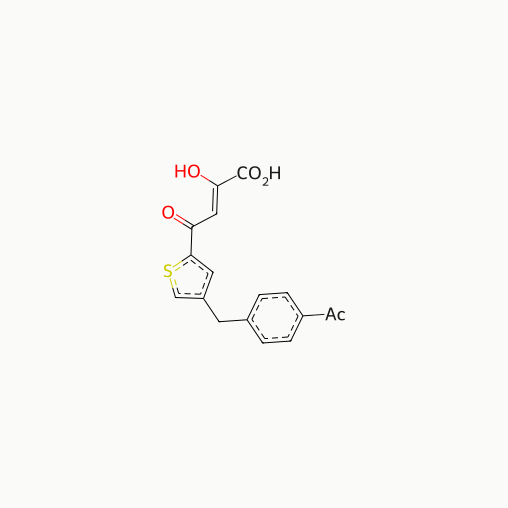 CC(=O)c1ccc(Cc2csc(C(=O)C=C(O)C(=O)O)c2)cc1